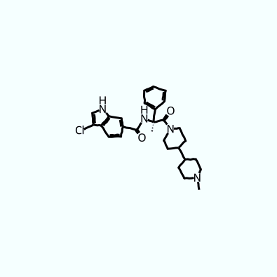 CN1CCC(C2CCN(C(=O)[C@@](C)(NC(=O)c3ccc4c(Cl)c[nH]c4c3)c3ccccc3)CC2)CC1